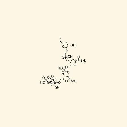 BB[C@H]1C[C@H](OP(=O)(O)OC[C@H]2O[C@@H](CF)C[C@@H]2O)[C@@H](COP(=O)(O)O[C@H]2C[C@H](B)O[C@@H]2COP(=O)(S)OP(=O)(O)OP(=O)(O)O)O1